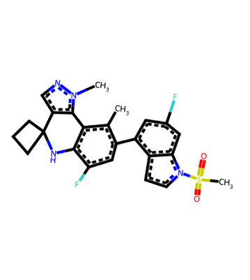 Cc1c(-c2cc(F)cc3c2ccn3S(C)(=O)=O)cc(F)c2c1-c1c(cnn1C)C1(CCC1)N2